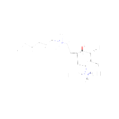 CCCCCC[N+](C)(C)CCC(CC[N+](C)(C)C)C(=O)C(C)CC